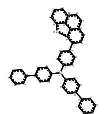 c1ccc(-c2ccc(N(c3ccc(-c4ccccc4)cc3)c3ccc(-c4ccc5ccc6cccc7oc4c5c67)cc3)cc2)cc1